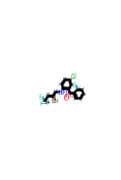 O=C(c1ccccc1F)c1cc(Cl)ccc1NCC(Br)CC(F)(F)F